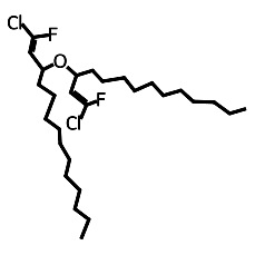 CCCCCCCCCCCC(/C=C(\F)Cl)OC(/C=C(\F)Cl)CCCCCCCCCCC